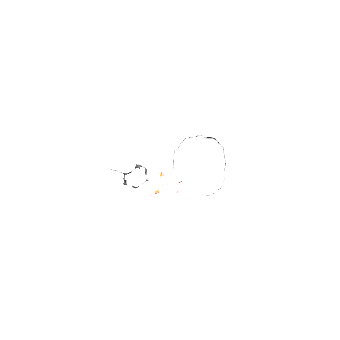 Cc1ccc(S(=O)(=O)OC2CCCCCCCCCCC2)cc1